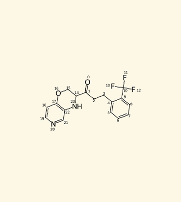 O=C(CCc1ccccc1C(F)(F)F)C1COc2ccncc2N1